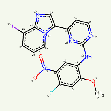 COc1cc(F)c([N+](=O)[O-])cc1Nc1nccc(-c2cnc3c(I)cccn23)n1